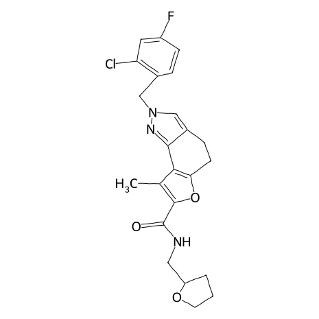 Cc1c(C(=O)NCC2CCCO2)oc2c1-c1nn(Cc3ccc(F)cc3Cl)cc1CC2